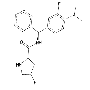 CC(C)c1ccc([C@@H](NC(=O)C2CC(F)CN2)c2ccccc2)cc1F